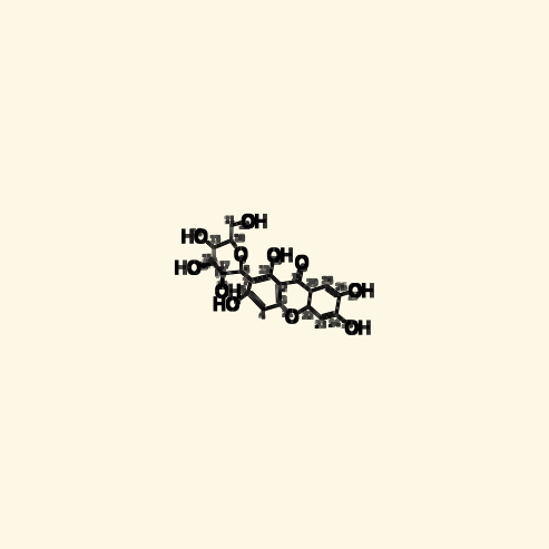 O=C1c2c(cc(O)c(C3OC(CO)C(O)[C@H](O)[C@@H]3O)c2O)OC2C=C(O)C(O)=CC12